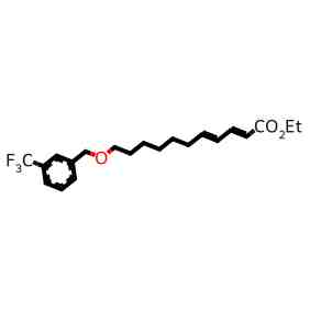 CCOC(=O)/C=C/C=C/CCCCCCOCc1cccc(C(F)(F)F)c1